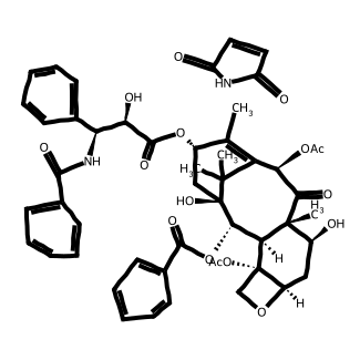 CC(=O)O[C@H]1C(=O)[C@@]2(C)[C@H]([C@H](OC(=O)c3ccccc3)[C@]3(O)C[C@H](OC(=O)[C@H](O)[C@@H](NC(=O)c4ccccc4)c4ccccc4)C(C)=C1C3(C)C)[C@]1(OC(C)=O)CO[C@@H]1C[C@@H]2O.O=C1C=CC(=O)N1